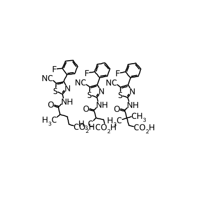 CC(C)(CC(=O)O)C(=O)Nc1nc(-c2ccccc2F)c(C#N)s1.CC(CC(=O)O)C(=O)Nc1nc(-c2ccccc2F)c(C#N)s1.CC(CCC(=O)O)C(=O)Nc1nc(-c2ccccc2F)c(C#N)s1